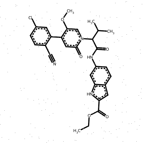 CCOC(=O)c1cc2ccc(NC(=O)C(C(C)C)n3cc(OC)c(-c4cc(Cl)ccc4C#N)cc3=O)cc2[nH]1